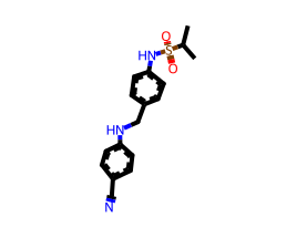 CC(C)S(=O)(=O)Nc1ccc(CNc2ccc(C#N)cc2)cc1